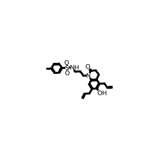 C=CCc1cc2c(c(CC=C)c1O)CCC(=O)N2CCCNS(=O)(=O)c1ccc(C)cc1